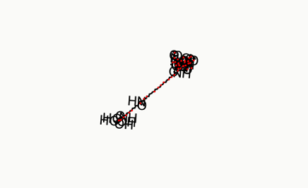 CCCCN(C(=O)OC(C)(C)C)C(C(CCCCCCNC(=O)CCCCCCCCCCCCCCCCCCCCCCCNC(=O)CCCCCCCCCCCNC(=O)[C@H](O)[C@@H](O)[C@H](O)[C@@H](C)O)CN(CCCC(N(C)C(=O)OC(C)(C)C)N(CCC)C(=O)OC(C)(C)C)C(=O)OC(C)(C)C)(N(C)C(=O)OC(C)(C)C)N(CCC)C(=O)OC(C)(C)C